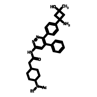 CCN(C(C)=O)C1CCC(CC(=O)Nc2cc(-c3ccccc3)c(-c3ccc(C4(N)CC(C)(O)C4)cc3)nn2)CC1